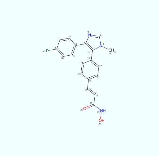 Cn1cnc(-c2ccc(F)cc2)c1-c1ccc(/C=C/C(=O)NO)cc1